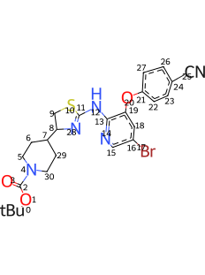 CC(C)(C)OC(=O)N1CCC(C2CSC(Nc3ncc(Br)cc3Oc3ccc(C#N)cc3)=N2)CC1